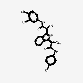 N#CC(C(=O)Nc1ccc(Cl)cc1)=c1[nH]c(=C(C#N)C(=O)Nc2ccc(Cl)c(Cl)c2)c2ccccc12